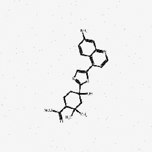 COC(=O)C1CCC(O)(c2ncc(-c3ccnc4cc(N)ccc34)s2)CC1(C)C